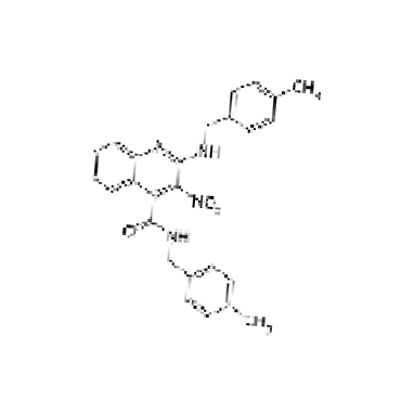 Cc1ccc(CNC(=O)c2c([N+](=O)[O-])c(NCc3ccc(C)cc3)nc3ccccc23)cc1